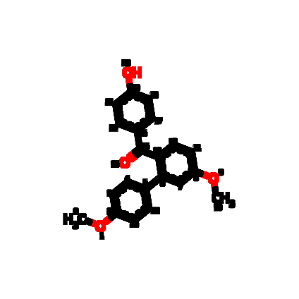 COc1ccc(-c2cc(OC)ccc2C(=O)c2ccc(O)cc2)cc1